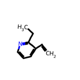 C=Cc1cccnc1CC